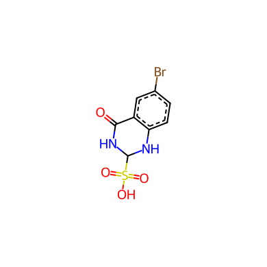 O=C1NC(S(=O)(=O)O)Nc2ccc(Br)cc21